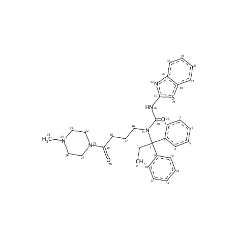 CCC(c1ccccc1)(c1ccccc1)N(CCCC(=O)N1CCN(C)CC1)C(=O)Nc1nc2ccccc2s1